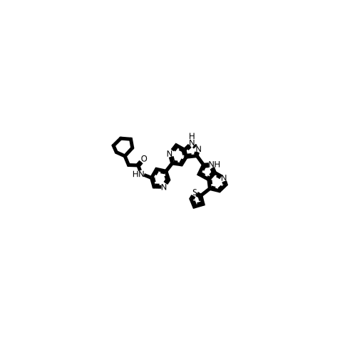 O=C(CC1CCCCC1)Nc1cncc(-c2cc3c(-c4cc5c(-c6cccs6)ccnc5[nH]4)n[nH]c3cn2)c1